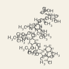 CC(C)Oc1cc(-n2nc(C(C)(C)C)oc2=O)c(Cl)cc1Cl.CCNc1nc(Cl)nc(NC(C)(C)C)n1.CCc1cccc(C)c1N(C(=O)CCl)C(C)COC.C[S+](C)C.O=C(O)CNCP(=O)([O-])O